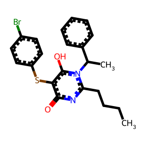 CCCCc1nc(=O)c(Sc2ccc(Br)cc2)c(O)n1C(C)c1ccccc1